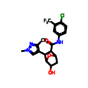 Cn1cc(C2C3OC(CC3O)C2C(=O)Nc2ccc(Cl)c(C(F)(F)F)c2)c(C(F)(F)F)n1